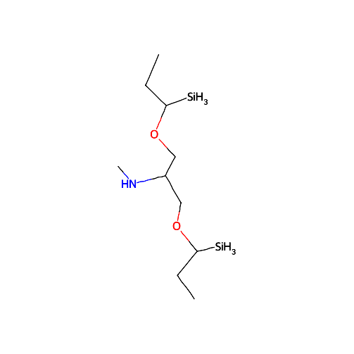 CCC([SiH3])OCC(COC([SiH3])CC)NC